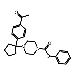 CC(=O)c1ccc(C2(N3CCN(C(=O)Oc4ccccc4)CC3)CCCC2)cc1